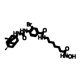 C[C@]12CC3CC(NC(=O)Nc4ccc(C(=O)NCCCCCCC(=O)NO)cc4Br)(C1)C[C@@](C)(C3)C2